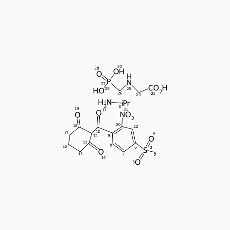 CC(C)N.CS(=O)(=O)c1ccc(C(=O)C2C(=O)CCCC2=O)c([N+](=O)[O-])c1.O=C(O)CNCP(=O)(O)O